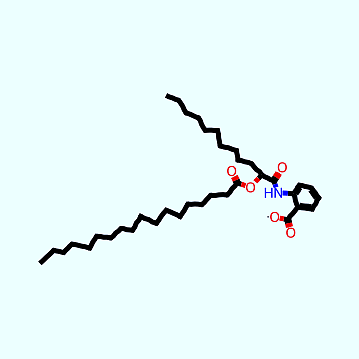 CCCCCCCCCCCCCCCCCC(=O)OC(CCCCCCCCCC)C(=O)Nc1ccccc1C([O])=O